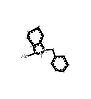 CC(=O)Oc1nn(Cc2ccccc2)c2ccccc12